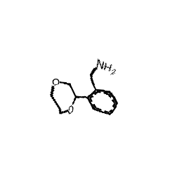 NCc1ccccc1C1COCCO1